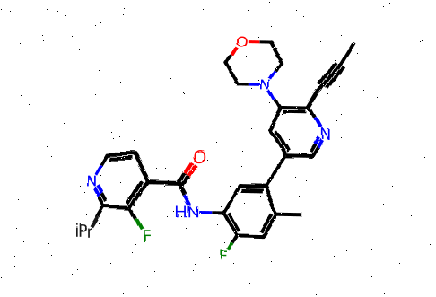 CC#Cc1ncc(-c2cc(NC(=O)c3ccnc(C(C)C)c3F)c(F)cc2C)cc1N1CCOCC1